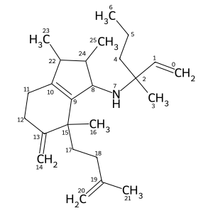 C=CC(C)(CCC)NC1C2=C(CCC(=C)C2(C)CCC(=C)C)C(C)C1C